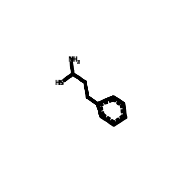 NC(S)CCc1ccccc1